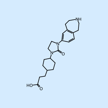 O=C(O)CCC1CCC(N2CCN(c3ccc4c(c3)CCNCC4)C2=O)CC1